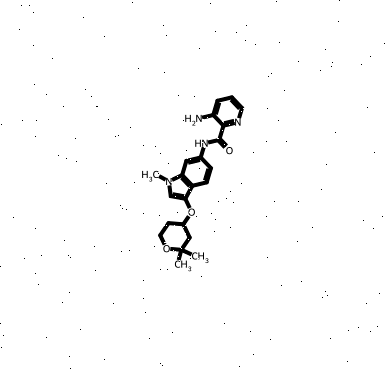 Cn1cc(OC2CCOC(C)(C)C2)c2ccc(NC(=O)c3ncccc3N)cc21